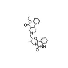 CCOC(=O)C1=C(c2ccccc2)CCN(CCC(C)Cn2c(=O)[nH]c3ccccc3c2=O)C1